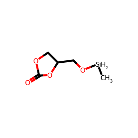 C[SiH2]OCC1COC(=O)O1